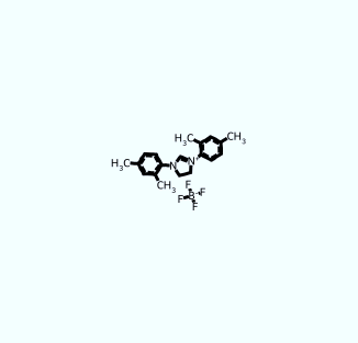 Cc1ccc(N2C=[N+](c3ccc(C)cc3C)CC2)c(C)c1.F[B-](F)(F)F